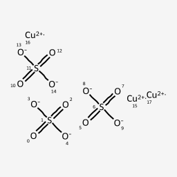 O=S(=O)([O-])[O-].O=S(=O)([O-])[O-].O=S(=O)([O-])[O-].[Cu+2].[Cu+2].[Cu+2]